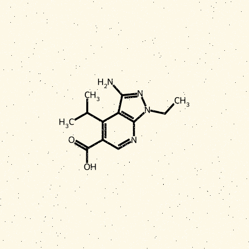 CCn1nc(N)c2c(C(C)C)c(C(=O)O)cnc21